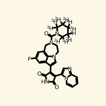 [2H]C1([2H])N(C(=O)N2CCn3cc(C4=C(c5cnc6ccccn56)C(=O)NC4=O)c4cc(F)cc(c43)C2)C([2H])([2H])C([2H])([2H])C([2H])([2H])C1([2H])[2H]